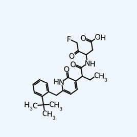 CCC(C(=O)NC(CC(=O)O)C(=O)CF)c1ccc(Cc2ccccc2C(C)(C)C)[nH]c1=O